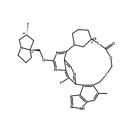 Cc1cc2[nH]ncc2c2c1CCCOC(=O)C[C@@H]1CCCN(C1)c1nc(OC[C@@]34CCCN3C[C@H](F)C4)nc3c(F)c-2ncc13